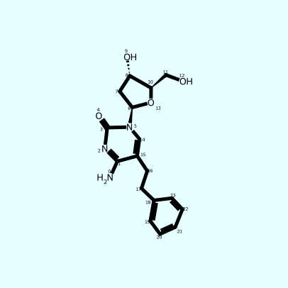 Nc1nc(=O)n([C@H]2C[C@H](O)[C@@H](CO)O2)cc1CCc1ccccc1